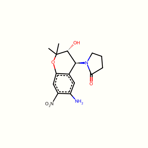 CC1(C)Oc2cc([N+](=O)[O-])c(N)cc2[C@H](N2CCCC2=O)[C@H]1O